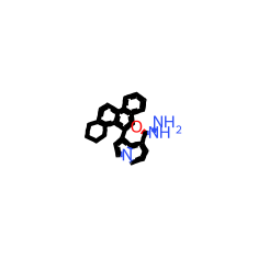 NNC(=O)c1cccn2ccc(-c3cc4ccccc4c4ccc5c(c34)CCCC5)c12